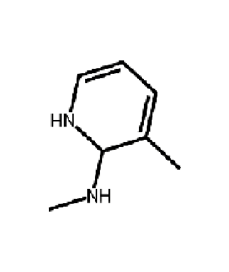 CN[C]1NC=CC=C1C